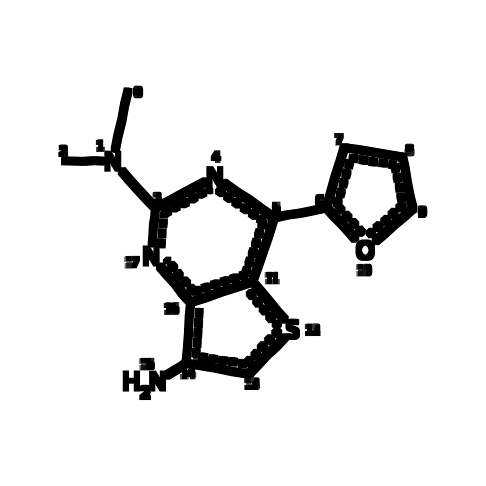 CN(C)c1nc(-c2ccco2)c2scc(N)c2n1